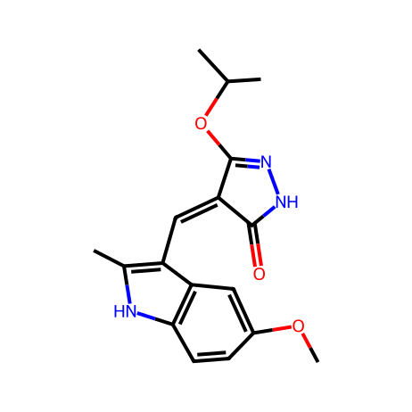 COc1ccc2[nH]c(C)c(C=C3C(=O)NN=C3OC(C)C)c2c1